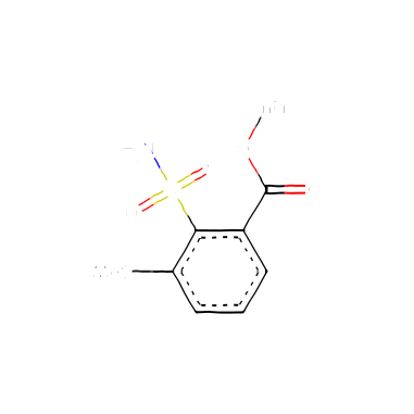 CCCOC(=O)c1cccc(SC)c1S(N)(=O)=O